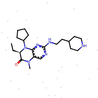 CC[C@@H]1C(=O)N(C)c2cnc(NCCC3CCNCC3)nc2N1C1CCCC1